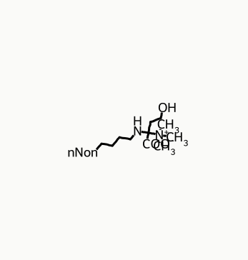 CCCCCCCCCCCCCNC(CCO)(C(=O)[O-])[N+](C)(C)C